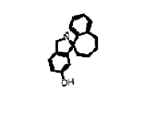 CN1Cc2ccc(O)cc2C12CCCCc1ccccc12